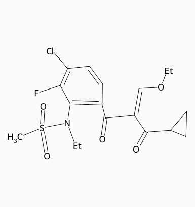 CCOC=C(C(=O)c1ccc(Cl)c(F)c1N(CC)S(C)(=O)=O)C(=O)C1CC1